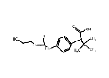 CC(C)(C)N(C(=O)O)c1ccc(NC(=S)NCCO)cc1